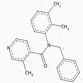 Cc1cnccc1C(=O)N(Cc1ccccc1)c1cccc(C)c1C